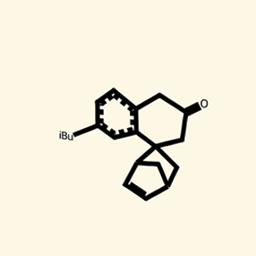 CCC(C)c1ccc2c(c1)C1(CC(=O)C2)CC2C=CC1C2